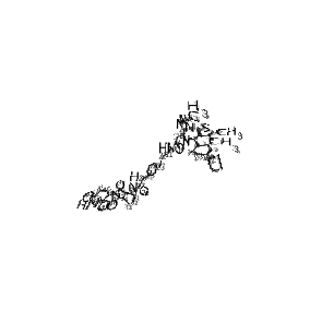 Cc1sc2c(c1C)C(c1ccc(Cl)cc1)=N[C@@H](CC(=O)NCCCOCCC(=O)Nc1cccc3c1C(=O)N(C1CCC(=O)NC1=O)C3=O)c1nnc(C)n1-2